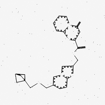 O=C(NCc1cn2cc(CNCC34CC(C3)C4)ccc2n1)c1cc(=O)n2ccccc2n1